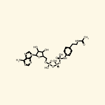 CC(=O)NCCc1ccc(NP(=O)(O)OP(=O)(O)OP(=O)(O)OCC2OC(n3cnc4c(N)ncnc43)C(O)C2O)cc1